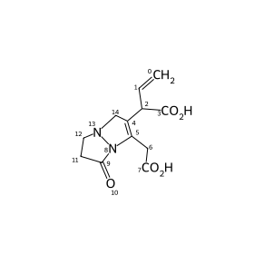 C=CC(C(=O)O)C1=C(CC(=O)O)N2C(=O)CCN2C1